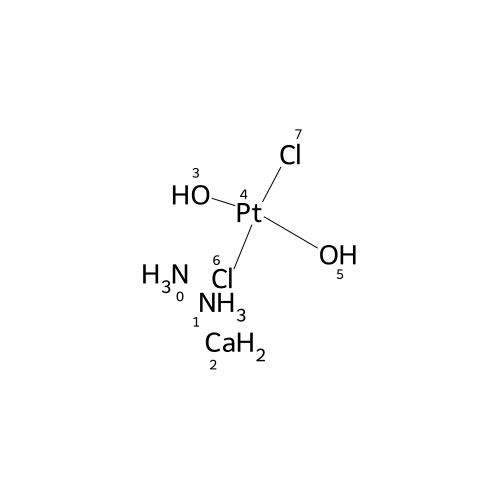 N.N.[CaH2].[OH][Pt]([OH])([Cl])[Cl]